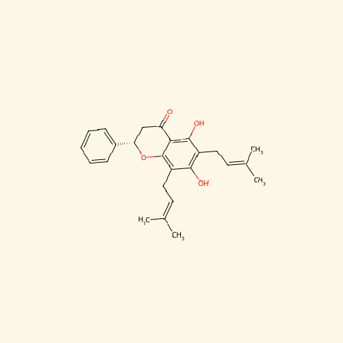 CC(C)=CCc1c(O)c(CC=C(C)C)c2c(c1O)C(=O)C[C@@H](c1ccccc1)O2